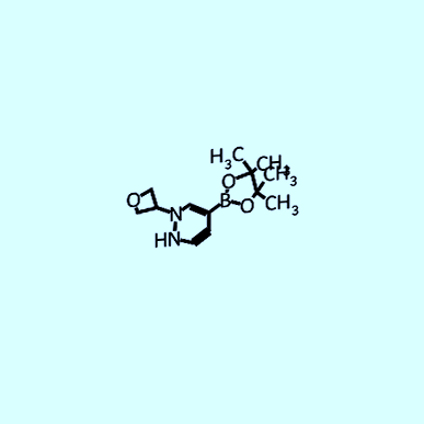 CC1(C)OB(C2=CN(C3COC3)NC#C2)OC1(C)C